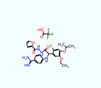 CCOc1cc(C(Nc2ccc(C(=N)N)cc2)C(=O)NNC(=O)c2ccco2)c(F)cc1OC(C)C.O=C(O)C(F)(F)F